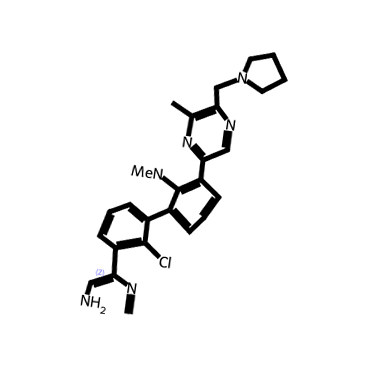 C=N/C(=C\N)c1cccc(-c2cccc(-c3cnc(CN4CCCC4)c(C)n3)c2NC)c1Cl